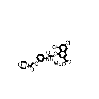 COC(=O)c1cc(OCC(=O)Nc2cccc(OCC(=O)N3CCOCC3)c2)c2c(Cl)cc(Cl)cc2c1